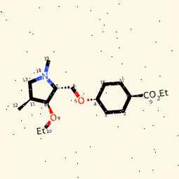 CCOC(=O)[C@H]1CC[C@H](OC[C@@H]2[C@@H](OCC)[C@@H](C)CN2C)CC1